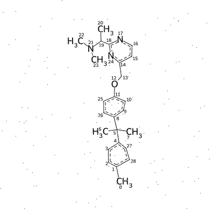 Cc1ccc(C(C)(C)c2ccc(OCc3ccnc(C(C)N(C)C)n3)cc2)cc1